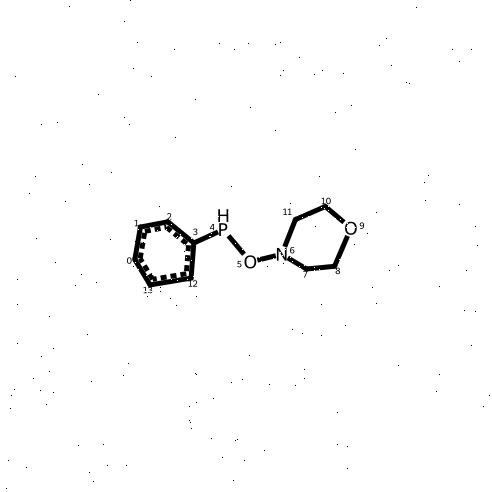 c1ccc(PON2CCOCC2)cc1